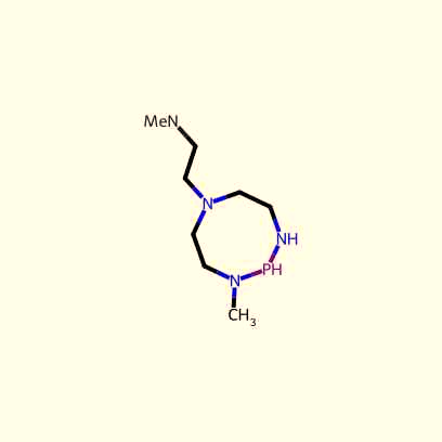 CNCCN1CCNPN(C)CC1